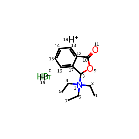 Br.CC[N+](CC)(CC)C1OC(=O)c2ccccc21.[H+].[H+]